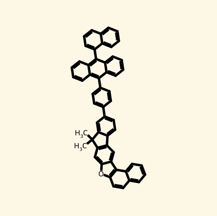 CC1(C)c2cc(-c3ccc(-c4c5ccccc5c(-c5cccc6ccccc56)c5ccccc45)cc3)ccc2-c2cc3c(cc21)oc1ccc2ccccc2c13